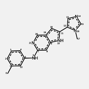 Cc1cccc(Nc2cc3[nH]c(-c4cncn4C)cc3cn2)c1